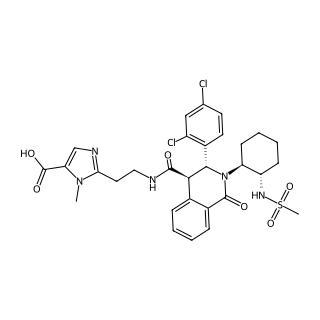 Cn1c(C(=O)O)cnc1CCNC(=O)[C@@H]1c2ccccc2C(=O)N([C@H]2CCCC[C@@H]2NS(C)(=O)=O)[C@H]1c1ccc(Cl)cc1Cl